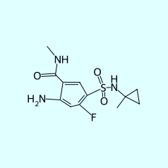 CNC(=O)c1cc(S(=O)(=O)NC2(C)CC2)c(F)cc1N